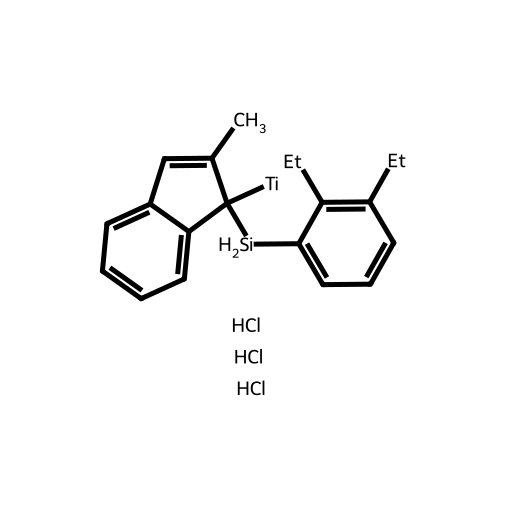 CCc1cccc([SiH2][C]2([Ti])C(C)=Cc3ccccc32)c1CC.Cl.Cl.Cl